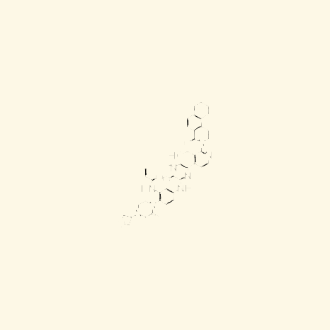 C=CC(=O)Nc1cc(Nc2nc(-c3ccnc(N4CCc5c(ccc6c5CCCC6)C4=O)c3CO)cn(C)c2=O)ccc1N1CCN(C2COC2)C[C@@H]1C